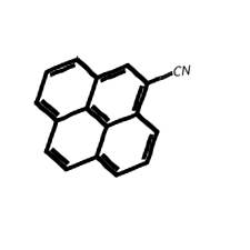 N#Cc1cc2[c]ccc3ccc4cccc1c4c23